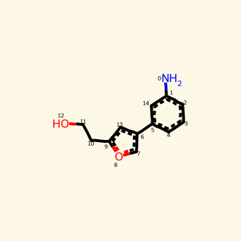 Nc1cccc(-c2coc(CCO)c2)c1